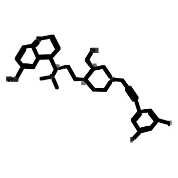 COc1ccc2nccc([C@H](CC[C@@H]3CCN(CC#Cc4cc(F)cc(F)c4)C[C@@H]3CO)N(C)C)c2c1